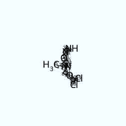 CCCCn1c(-c2cccc(OCc3cc(Cl)cc(Cl)c3)c2)nc2ccc(OCCN3CCNCC3)cc21